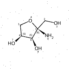 N[C@]1(CO)O[CH][C@H](O)[C@@H]1O